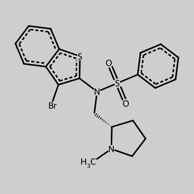 CN1CCC[C@H]1CN(c1sc2ccccc2c1Br)S(=O)(=O)c1ccccc1